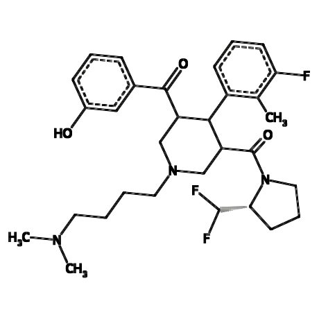 Cc1c(F)cccc1C1C(C(=O)c2cccc(O)c2)CN(CCCCN(C)C)CC1C(=O)N1CCC[C@@H]1C(F)F